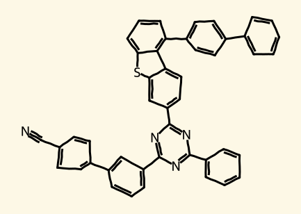 N#Cc1ccc(-c2cccc(-c3nc(-c4ccccc4)nc(-c4ccc5c(c4)sc4cccc(-c6ccc(-c7ccccc7)cc6)c45)n3)c2)cc1